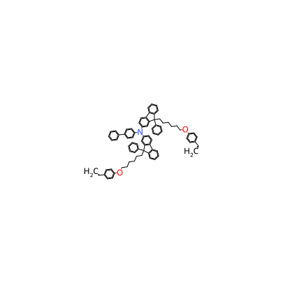 C=Cc1ccc(OCCCCCCC2(c3ccccc3)c3ccccc3-c3ccc(N(c4ccc(-c5ccccc5)cc4)c4ccc5c(c4)C(CCCCCCOc4ccc(C=C)cc4)(c4ccccc4)c4ccccc4-5)cc32)cc1